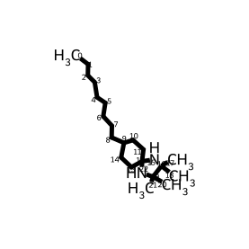 CCCCCCCCCC1CCC2(CC1)NC(C)(C)C(C)(C)N2